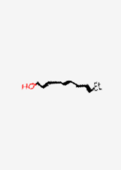 CCC=CCC=CC=CCO